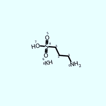 NCCCS(=O)(=O)O.[KH]